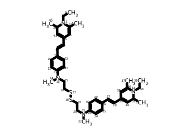 CCN1C(C)=CC(/C=C/c2ccc(N(C)CCSSCCN(C)c3ccc(/C=C/C4=CC(C)N(CC)C(C)=C4)cc3)cc2)=CC1C